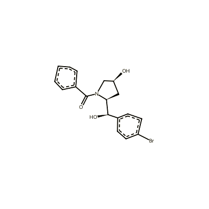 O=C(c1ccccc1)N1C[C@@H](O)C[C@H]1[C@H](O)c1ccc(Br)cc1